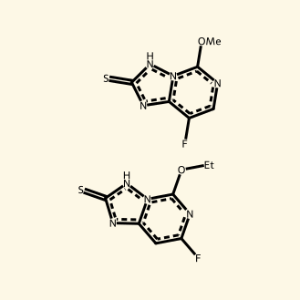 CCOc1nc(F)cc2nc(=S)[nH]n12.COc1ncc(F)c2nc(=S)[nH]n12